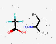 CC(C)CC(N)C(=O)O.O=C(O)C(F)(F)F